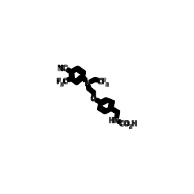 N#Cc1ccc(N(CCOc2ccc(CNC(=O)O)cc2)CC(F)(F)F)cc1C(F)(F)F